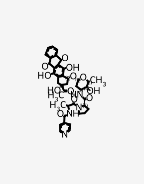 CC(=O)[C@]1(O)Cc2c(O)c3c(c(O)c2[C@@H](O[C@H]2C[C@H](NC(=O)[C@H]4CCCN4C(=O)C(C)NC(=O)c4ccncc4)[C@H](O)[C@H](C)O2)C1)C(=O)c1ccccc1C3=O